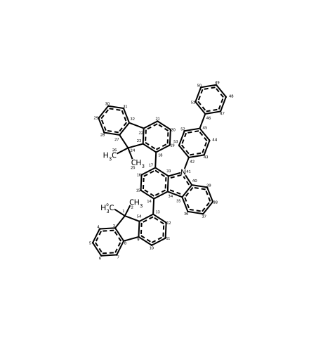 CC1(C)c2ccccc2-c2cccc(-c3ccc(-c4cccc5c4C(C)(C)c4ccccc4-5)c4c3c3ccccc3n4-c3ccc(-c4ccccc4)cc3)c21